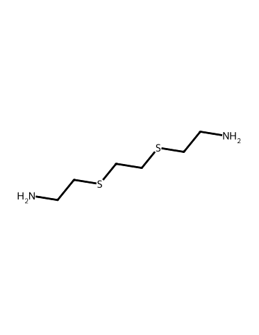 NCCSCCSCCN